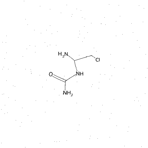 NC(=O)NC(N)CCl